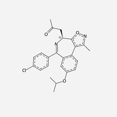 CC(=O)C[C@@H]1N=C(c2ccc(Cl)cc2)c2cc(OC(C)C)ccc2-c2c(C)noc21